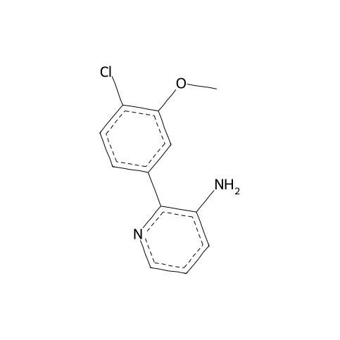 COc1cc(-c2ncccc2N)ccc1Cl